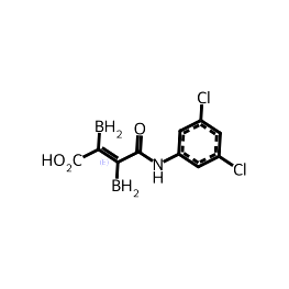 B/C(C(=O)O)=C(/B)C(=O)Nc1cc(Cl)cc(Cl)c1